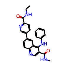 CCNC(=O)c1ccc(-c2ccc3ncc(C(=O)NC)c(Nc4ccccc4)c3c2)cn1